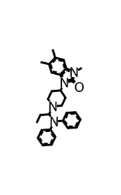 CCC(N1CCC(n2c(=O)n(C)c3cc(C)c(C)cc32)CC1)N(c1ccccc1)c1ccccc1